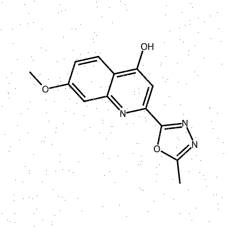 COc1ccc2c(O)cc(-c3nnc(C)o3)nc2c1